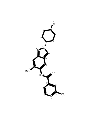 COc1cc2nn([C@H]3CC[C@H](C(C)C)CC3)cc2cc1NC(=O)c1ccnc(C(F)(F)F)c1